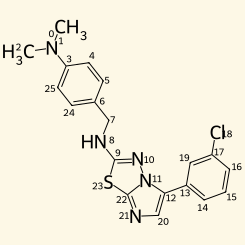 CN(C)c1ccc(CNc2nn3c(-c4cccc(Cl)c4)cnc3s2)cc1